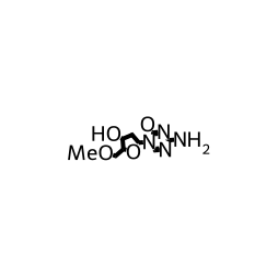 COCC1OC(n2cnc(N)nc2=O)CC1O